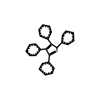 c1ccc([C]2P=C(c3ccccc3)C(c3ccccc3)=C2c2ccccc2)cc1